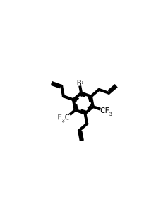 [B]c1c(CC=C)c(C(F)(F)F)c(CC=C)c(C(F)(F)F)c1CC=C